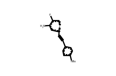 CCCCc1ccc(C#Cc2ccc(F)c(N)c2)cc1